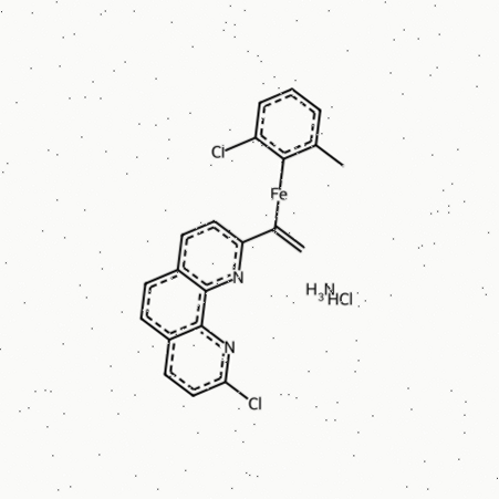 C=[C]([Fe][c]1c(C)cccc1Cl)c1ccc2ccc3ccc(Cl)nc3c2n1.Cl.N